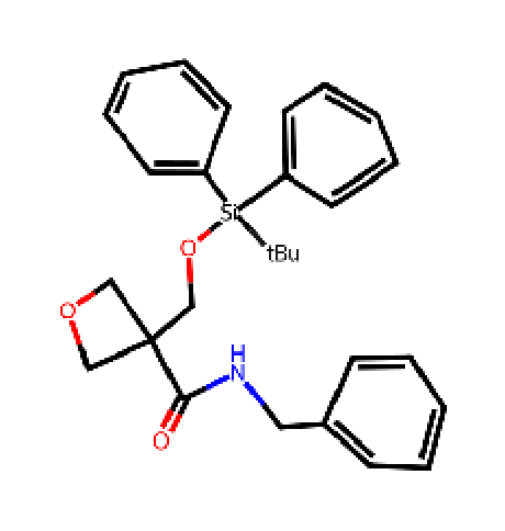 CC(C)(C)[Si](OCC1(C(=O)NCc2ccccc2)COC1)(c1ccccc1)c1ccccc1